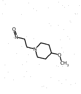 COC1CCN(CCN=O)CC1